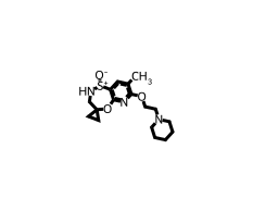 Cc1cc2c(nc1OCCN1CCCCC1)OC1(CC1)CN[S+]2[O-]